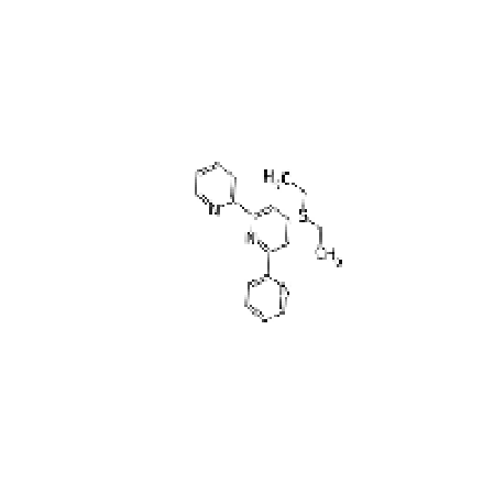 CCSCC.c1ccc(-c2cccc(-c3ccccn3)n2)nc1